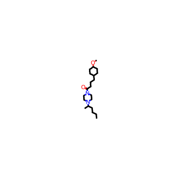 CCCCC(C)N1CCN(C(=O)CCCC2CCC(OC)CC2)CC1